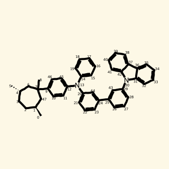 C[C@H]1CC[C@H](C)CC(C)(c2ccc(N(c3ccccc3)c3cccc(-c4cccc(-n5c6ccccc6c6ccccc65)c4)c3)cc2)C1